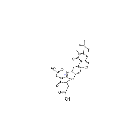 Cn1c(C(F)(F)F)cc(=O)n(-c2cc(/N=C3\SC(CC(=O)O)C(=O)N3CC(=O)O)c(Cl)cc2Cl)c1=O